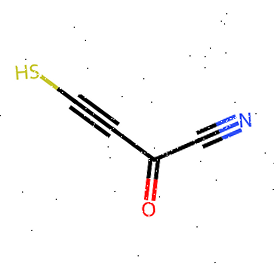 N#CC(=O)C#CS